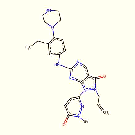 C=CCn1c(=O)c2cnc(Nc3ccc(N4CCNCC4)c(CC(F)(F)F)c3)nc2n1-c1ccc(=O)n(C(C)C)n1